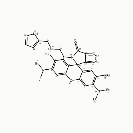 CCCCc1cc2c(cc1N(CC)CC)Oc1cc(N(CC)CC)c(CCCC)cc1C21c2ccccc2C(=O)N1CCNCc1ccc[nH]1